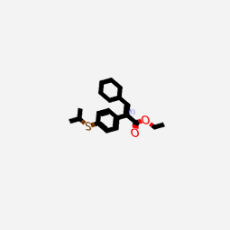 CCOC(=O)/C(=C/C1CCCCC1)c1ccc(SC(C)C)cc1